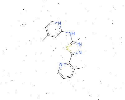 Cc1ccnc(Nc2nnc(-c3ncccc3C)s2)c1